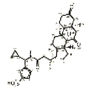 C[C@H](CC(=O)NC(c1ccc(S(=O)(=O)O)s1)C1CC1)[C@H]1CC[C@H]2[C@@H]3C(=O)C[C@@H]4CC(=O)CC[C@]4(C)[C@H]3CC[C@]12C